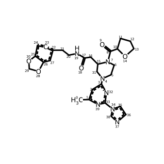 Cc1cc(N2CCN(C(=O)C3CCCO3)C(CC(=O)NCCc3ccc4c(c3)OCO4)C2)nc(-n2ccnc2)n1